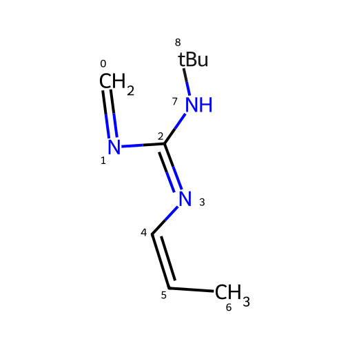 C=N/C(=N\C=C/C)NC(C)(C)C